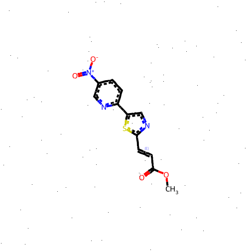 COC(=O)/C=C/c1ncc(-c2ccc([N+](=O)[O-])cn2)s1